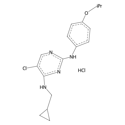 CC(C)Oc1ccc(Nc2ncc(Cl)c(NCC3CC3)n2)cc1.Cl